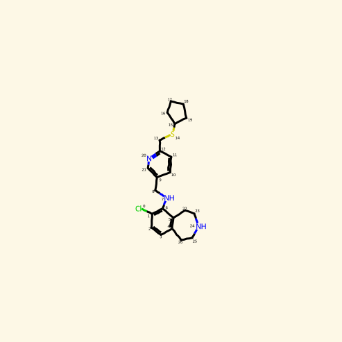 Clc1ccc2c(c1NCc1ccc(CSC3CCCC3)nc1)CCNCC2